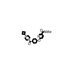 CNC(=O)c1ccc(O[C@H]2CC[C@H](C(=O)N3CCN(C4CCC4)CC3)CC2)nc1